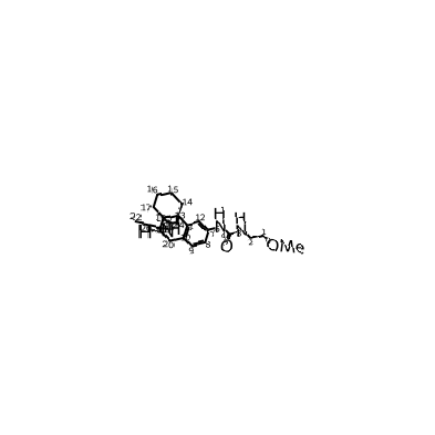 COCCNC(=O)Nc1ccc2c(c1)[C@@]13CCCC[C@H]1[C@@H](C2)N(C)CC3